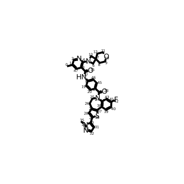 Cc1cnc(N2CC3(CCOCC3)C2)c(C(=O)Nc2ccc(C(=O)N3CCc4cc(-c5ccnn5C)sc4-c4ccc(F)cc43)cc2)c1